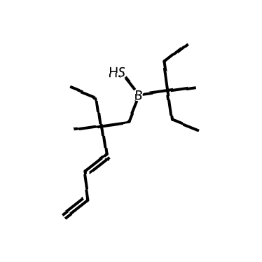 C=CC=CC(C)(CC)CB(S)C(C)(CC)CC